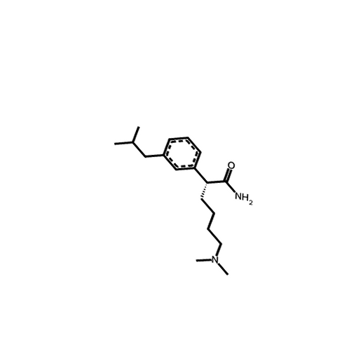 CC(C)Cc1cccc([C@@H](CCCCN(C)C)C(N)=O)c1